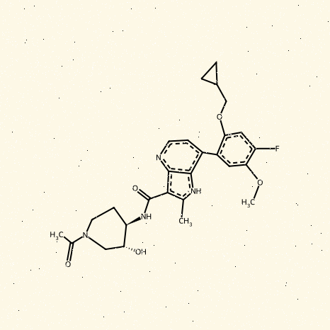 COc1cc(-c2ccnc3c(C(=O)N[C@@H]4CCN(C(C)=O)C[C@H]4O)c(C)[nH]c23)c(OCC2CC2)cc1F